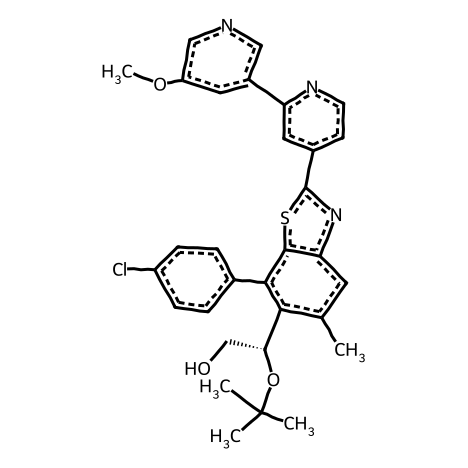 COc1cncc(-c2cc(-c3nc4cc(C)c([C@@H](CO)OC(C)(C)C)c(-c5ccc(Cl)cc5)c4s3)ccn2)c1